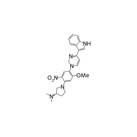 COc1cc(N2CC[C@@H](N(C)C)C2)c([N+](=O)[O-])cc1N1C=CC(c2c[nH]c3ccccc23)=NC1